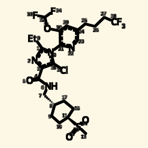 CCc1nc(C(=O)NC[C@H]2CC[C@H](S(C)(=O)=O)CC2)c(Cl)n1-c1ncc(CCCC(F)(F)F)cc1OC(F)F